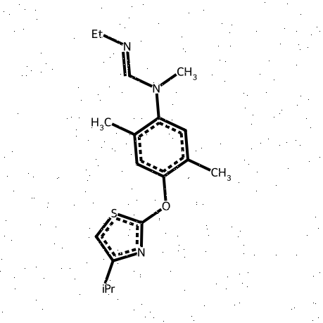 CCN=CN(C)c1cc(C)c(Oc2nc(C(C)C)cs2)cc1C